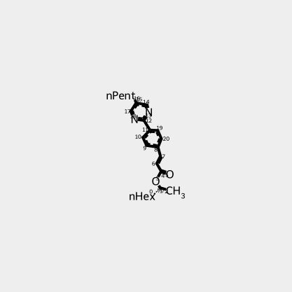 CCCCCC[C@@H](C)OC(=O)C=Cc1ccc(-c2ncc(CCCCC)cn2)cc1